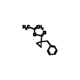 C=C(C)OC(=O)C1(Cc2ccccc2)CC1